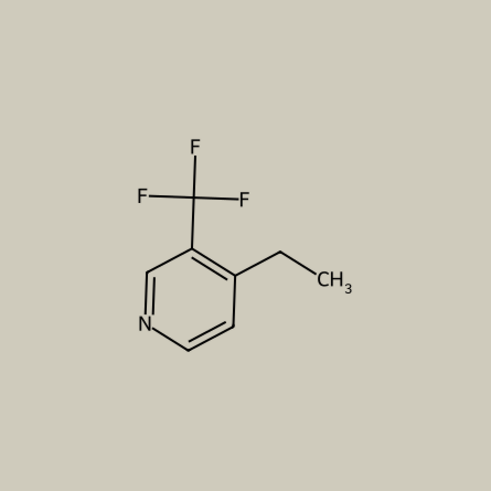 CCc1ccncc1C(F)(F)F